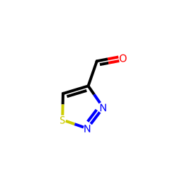 O=Cc1csnn1